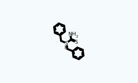 NC(=S)[SH](Cc1ccccc1)Cc1ccccc1